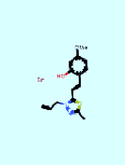 C=CC[n+]1nc(C)sc1/C=C/c1ccc(OC)cc1O.[Br-]